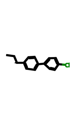 CC[CH]c1ccc(-c2ccc(Cl)cc2)cc1